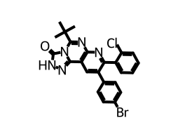 CC(C)(C)c1nc2nc(-c3ccccc3Cl)c(-c3ccc(Br)cc3)cc2c2n[nH]c(=O)n12